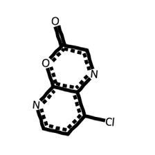 O=c1cnc2c(Cl)ccnc2o1